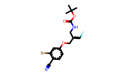 CC(C)(C)OC(=O)NC/C(=C\F)COc1ccc(C#N)c(Br)c1